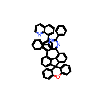 c1ccc(-c2cc(-c3cccc4c3-c3c(-c5ccc(-c6cccc7cccnc67)cc5)cccc3C43c4ccccc4Oc4ccccc43)nc(-c3ccccc3)n2)cc1